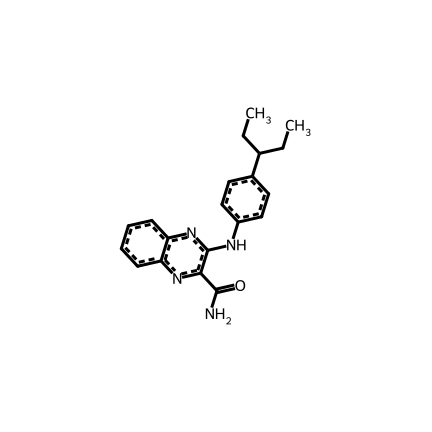 CCC(CC)c1ccc(Nc2nc3ccccc3nc2C(N)=O)cc1